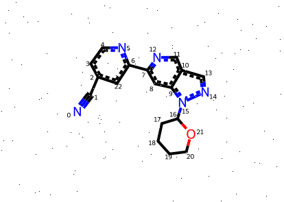 N#Cc1ccnc(-c2cc3c(cn2)cnn3C2CCCCO2)c1